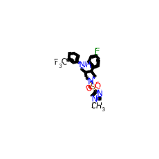 Cn1cnc(S(=O)(=O)N2CC(CNc3cccc(C(F)(F)F)c3)C(c3ccc(F)cc3)C2)c1